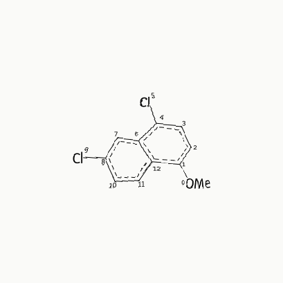 COc1ccc(Cl)c2cc(Cl)ccc12